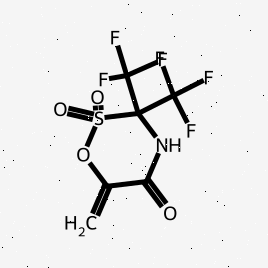 C=C1OS(=O)(=O)C(C(F)(F)F)(C(F)(F)F)NC1=O